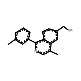 Cc1cccc(-c2ncc(C)c3cc(CC(C)C)ccc23)c1